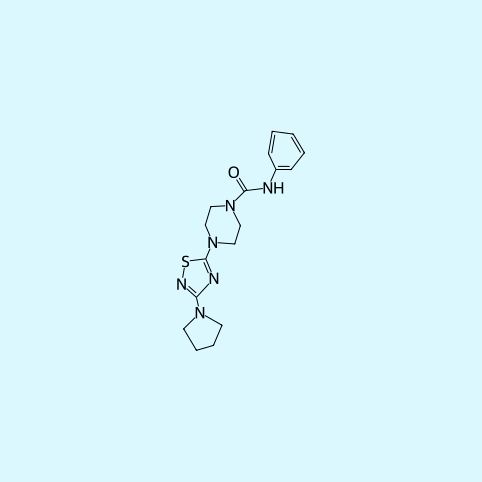 O=C(Nc1ccccc1)N1CCN(c2nc(N3CCCC3)ns2)CC1